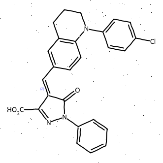 O=C(O)C1=NN(c2ccccc2)C(=O)/C1=C\c1ccc2c(c1)CCCN2c1ccc(Cl)cc1